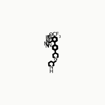 CS(=O)(=O)c1c(C(F)(F)F)ccc(-c2ccc(C3CCN(CC4CCCNC4)CC3)cc2)c1-c1nnn[nH]1